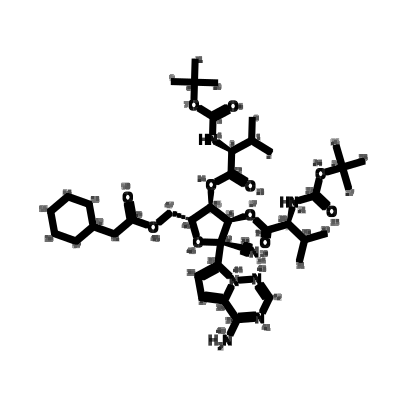 CC(C)[C@H](NC(=O)OC(C)(C)C)C(=O)O[C@H]1[C@@H](OC(=O)[C@@H](NC(=O)OC(C)(C)C)C(C)C)[C@](C#N)(c2ccc3c(N)ncnn23)O[C@@H]1COC(=O)CC1CCCCC1